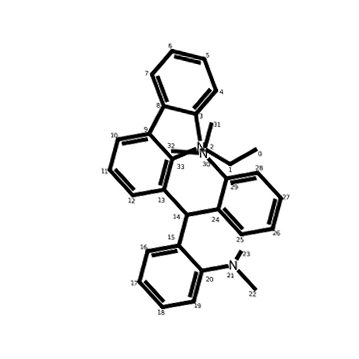 CCn1c2ccccc2c2cccc(C(c3ccccc3N(C)C)c3ccccc3N(C)C)c21